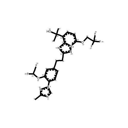 Cc1ncn(-c2ccc(CCc3nc4c(C(C)(C)O)ccc(OCC(F)(F)F)n4n3)cc2OC(F)F)n1